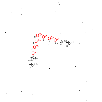 [O-2].[O-2].[O-2].[O-2].[O-2].[O-2].[O-2].[Yb+3].[Yb+3].[Zr+4].[Zr+4]